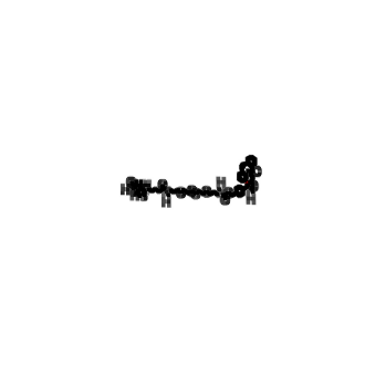 O=C(CCCC[C@@H]1SC[C@@H]2NC(=O)N[C@@H]21)NCCCOCCOOCCOCCCNC(=O)OCc1ccc(C2CC(CN3C(=O)c4ccccc4C#Cc4ccccc43)ON2)cc1